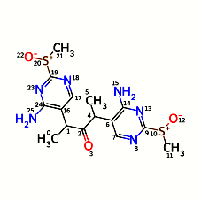 CC(C(=O)C(C)c1cnc([S+](C)[O-])nc1N)c1cnc([S+](C)[O-])nc1N